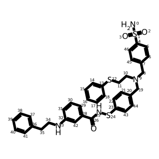 NS(=O)(=O)c1ccc(CN(CCSc2ccccc2)Cc2ccc(SNC(=O)c3cccc(NCCc4ccccc4)c3)cc2)cc1